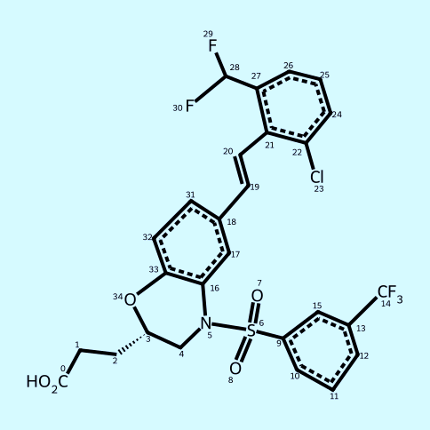 O=C(O)CC[C@H]1CN(S(=O)(=O)c2cccc(C(F)(F)F)c2)c2cc(/C=C/c3c(Cl)cccc3C(F)F)ccc2O1